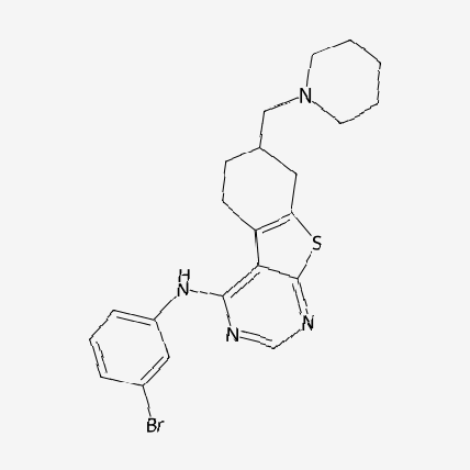 Brc1cccc(Nc2ncnc3sc4c(c23)CCC(CN2CCCCC2)C4)c1